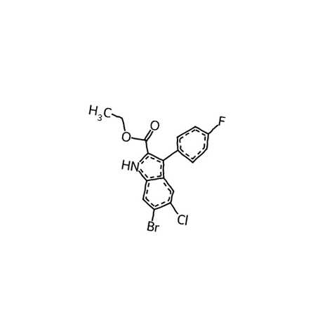 CCOC(=O)c1[nH]c2cc(Br)c(Cl)cc2c1-c1ccc(F)cc1